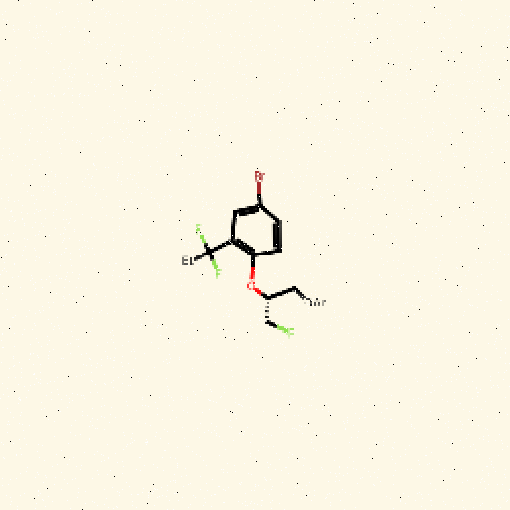 CCC(F)(F)c1cc(Br)ccc1O[C@@H](CF)COC(C)=O